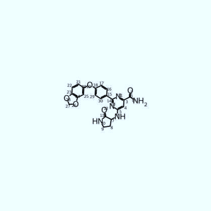 NC(=O)c1cc(NC2CCNC2=O)nc(-c2ccc(Oc3ccc4c(c3)OCO4)cc2)n1